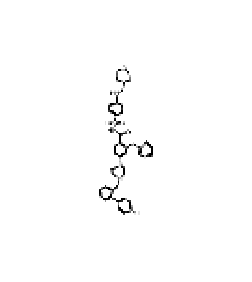 O=C(NS(=O)(=O)c1ccc(NCC2CCOCC2)cc1)c1ccc(N2CCN(Cc3ccccc3-c3ccc(Cl)cc3)CC2)cc1Cc1ccccc1